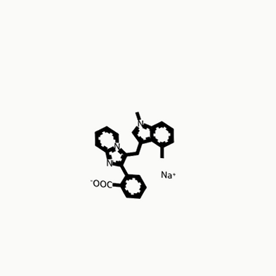 Cc1cccc2c1c(Cc1c(-c3ccccc3C(=O)[O-])nc3ccccn13)cn2C.[Na+]